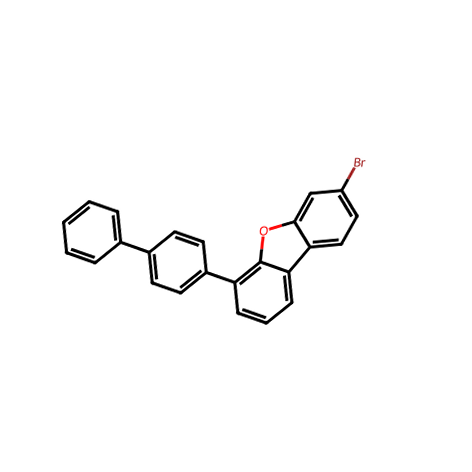 Brc1ccc2c(c1)oc1c(-c3ccc(-c4ccccc4)cc3)cccc12